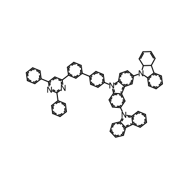 C1=CC2c3ccccc3N(c3ccc4c(c3)c3cc(-n5c6ccccc6c6ccccc65)ccc3n4-c3ccc(-c4cccc(-c5cc(-c6ccccc6)nc(-c6ccccc6)n5)c4)cc3)C2C=C1